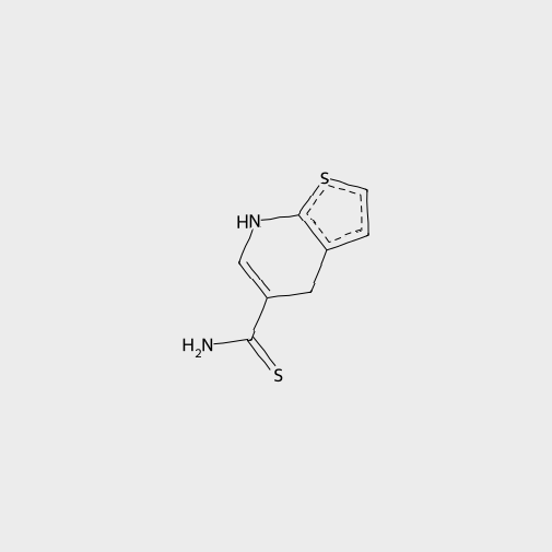 NC(=S)C1=CNc2sccc2C1